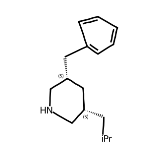 CC(C)C[C@@H]1CNC[C@H](Cc2ccccc2)C1